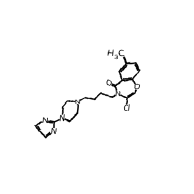 Cc1ccc2c(c1)C(=O)N(CCCCN1CCN(c3ncccn3)CC1)C(Cl)=CO2